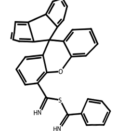 N=C(SC(=N)c1cccc2c1Oc1ccccc1C21c2ccccc2-c2ccccc21)c1ccccc1